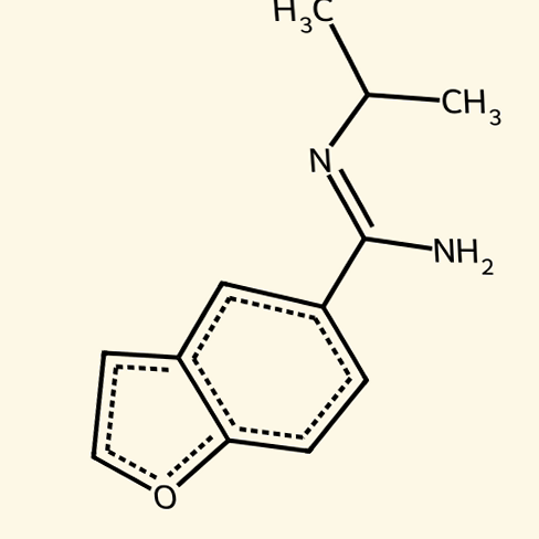 CC(C)N=C(N)c1ccc2occc2c1